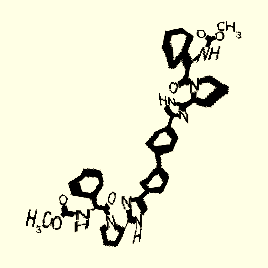 COC(=O)N[C@@H](C(=O)N1CC=CC1c1nc(-c2ccc(-c3ccc(-c4c[nH]c([C@@H]5CCCN5C(=O)[C@H](NC(=O)OC)c5ccccc5)n4)cc3)cc2)c[nH]1)c1ccccc1